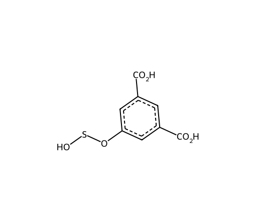 O=C(O)c1cc(OSO)cc(C(=O)O)c1